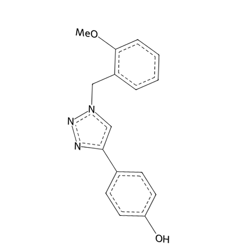 COc1ccccc1Cn1cc(-c2ccc(O)cc2)nn1